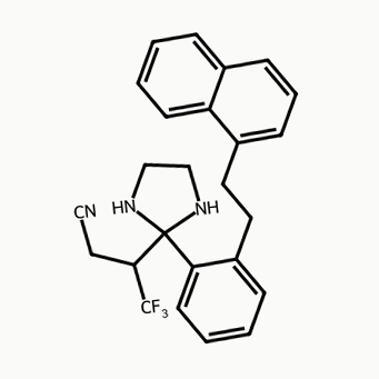 N#CCC(C(F)(F)F)C1(c2ccccc2CCc2cccc3ccccc23)NCCN1